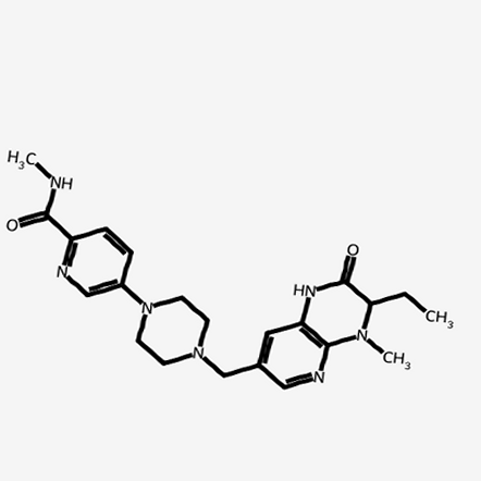 CCC1C(=O)Nc2cc(CN3CCN(c4ccc(C(=O)NC)nc4)CC3)cnc2N1C